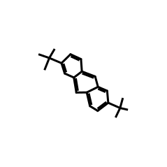 CC(C)(C)c1ccc2cc3cc(C(C)(C)C)ccc3cc2c1